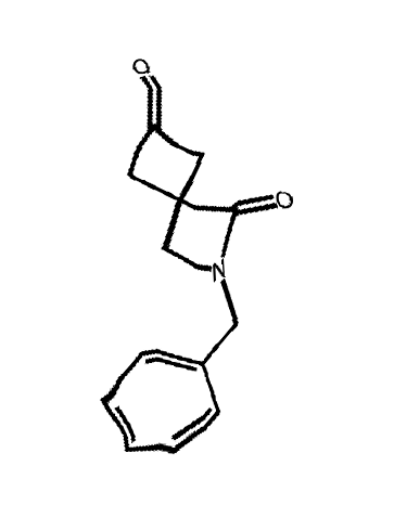 O=C1CC2(C1)CN(Cc1ccccc1)C2=O